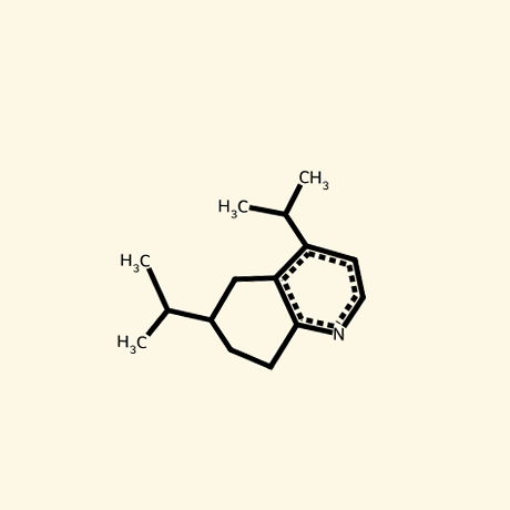 CC(C)c1ccnc2c1CC(C(C)C)CC2